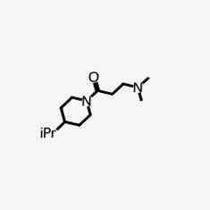 CC(C)C1CCN(C(=O)CCN(C)C)CC1